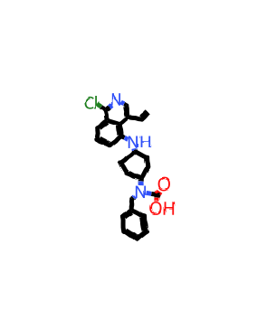 C=Cc1cnc(Cl)c2cccc(NC3CCC(N(Cc4ccccc4)C(=O)O)CC3)c12